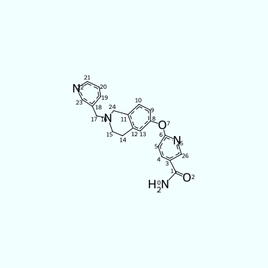 NC(=O)c1ccc(Oc2ccc3c(c2)CCN(Cc2cccnc2)C3)nc1